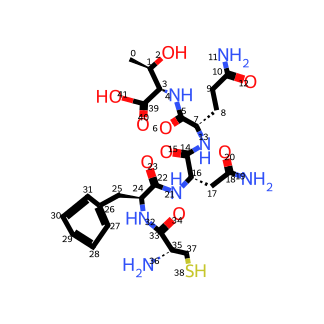 C[C@@H](O)[C@H](NC(=O)[C@H](CCC(N)=O)NC(=O)[C@H](CC(N)=O)NC(=O)[C@H](Cc1ccccc1)NC(=O)[C@@H](N)CS)C(=O)O